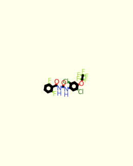 O=C(NC(=O)c1c(F)cccc1F)Nc1cc(Cl)c(OC(F)(F)C(F)(F)F)cc1Cl